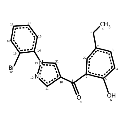 CCc1ccc(O)c(C(=O)c2cnn(-c3ccccc3Br)c2)c1